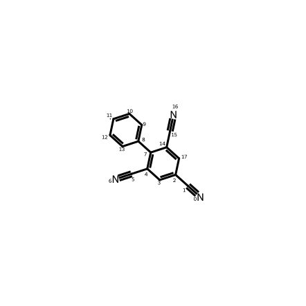 N#Cc1cc(C#N)c(-c2cc[c]cc2)c(C#N)c1